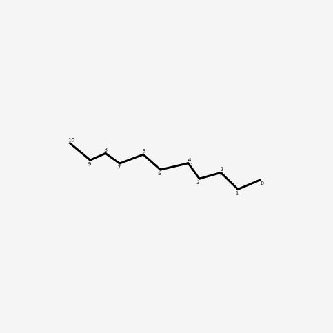 CC[CH]C[CH]CCCCCC